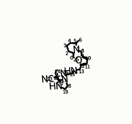 CC1CCCC(C)N1Cc1ccc(CNCCN2CCNC2=C(C#N)C#N)o1